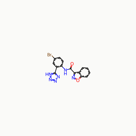 O=C(Nc1ccc(Br)cc1-c1nnn[nH]1)c1noc2ccccc12